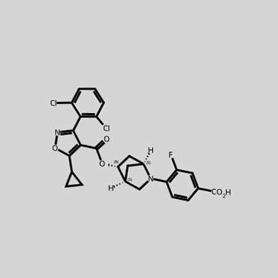 O=C(O)c1ccc(N2C[C@@H]3C[C@H]2C[C@H]3OC(=O)c2c(-c3c(Cl)cccc3Cl)noc2C2CC2)c(F)c1